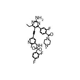 CCc1nc(N)nc(-c2ccc(C(=O)N3CCN(C)CC3)c(F)c2)c1C#Cc1cnc(C)c(NS(=O)(=O)c2ccc(F)cc2F)c1